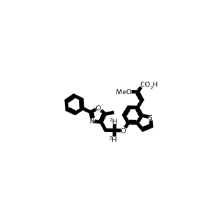 [2H]C([2H])(Cc1nc(-c2ccccc2)oc1C)Oc1ccc(/C=C(\OC)C(=O)O)c2sccc12